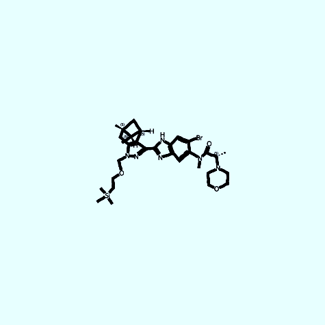 C[C@@H](C(=O)N(C)c1cc2nc(-c3nn(COCC[Si](C)(C)C)c4c3[C@H]3C[C@@](C)(C4)[C@H]3C)[nH]c2cc1Br)N1CCOCC1